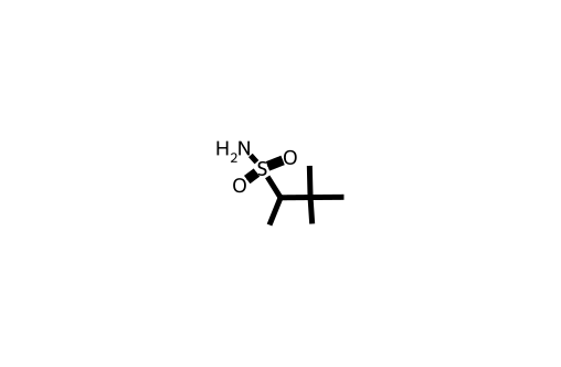 CC(C(C)(C)C)S(N)(=O)=O